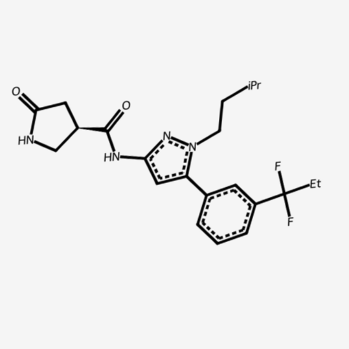 CCC(F)(F)c1cccc(-c2cc(NC(=O)[C@H]3CNC(=O)C3)nn2CCC(C)C)c1